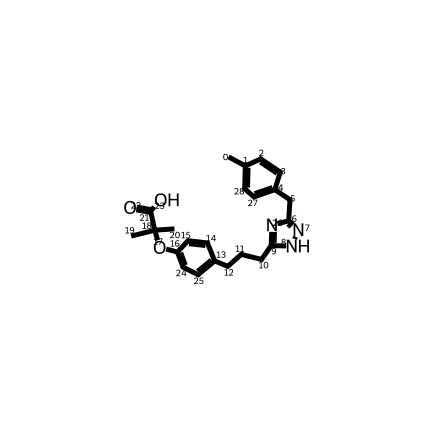 Cc1ccc(Cc2n[nH]c(CCCc3ccc(OC(C)(C)C(=O)O)cc3)n2)cc1